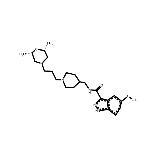 COc1ccc2[nH]nc(C(=O)NCC3CCN(CCCN4C[C@@H](C)O[C@@H](C)C4)CC3)c2c1